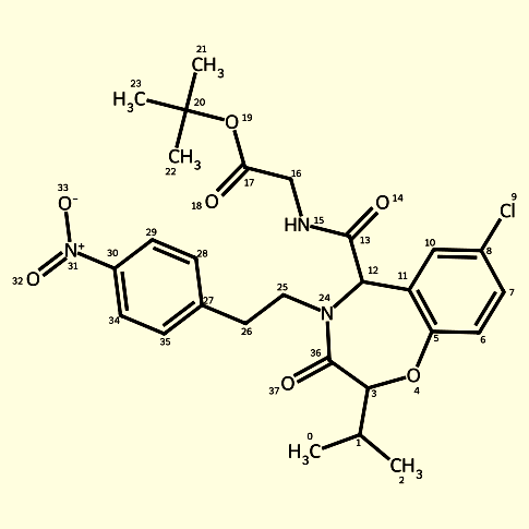 CC(C)C1Oc2ccc(Cl)cc2C(C(=O)NCC(=O)OC(C)(C)C)N(CCc2ccc([N+](=O)[O-])cc2)C1=O